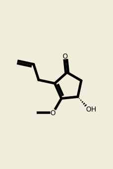 C=CCC1=C(OC)[C@@H](O)CC1=O